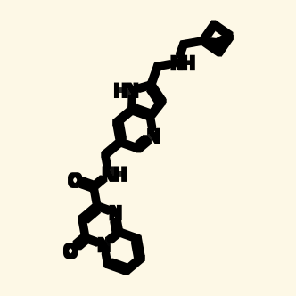 O=C(NCc1cnc2cc(CNCC34CC(C3)C4)[nH]c2c1)c1cc(=O)n2ccccc2n1